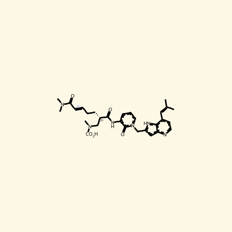 CC(C)=Cc1ccnc2cc(Cn3cccc(NC(=O)[C@@H](CC/C=C/C(=O)N(C)C)CN(C)C(=O)O)c3=O)[nH]c12